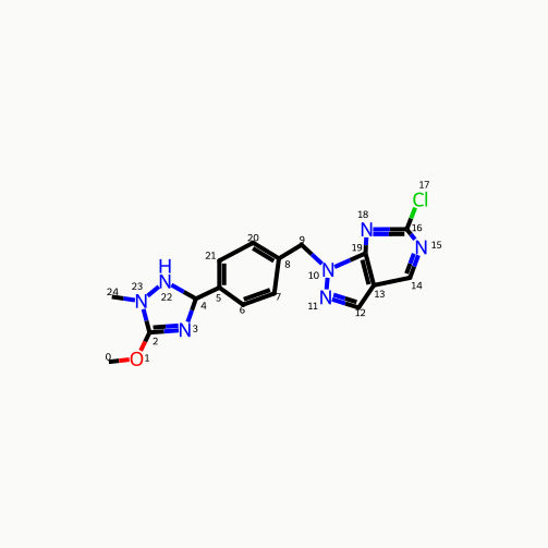 COC1=NC(c2ccc(Cn3ncc4cnc(Cl)nc43)cc2)NN1C